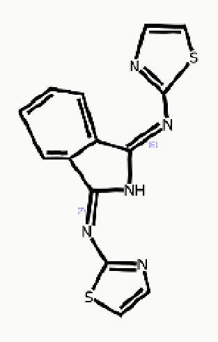 c1ccc2c(c1)/C(=N/c1nccs1)N/C2=N/c1nccs1